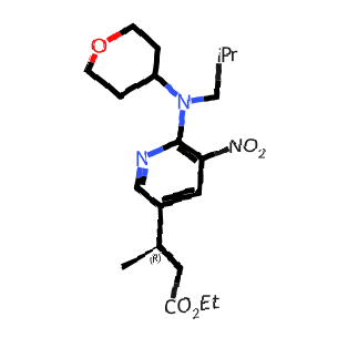 CCOC(=O)C[C@@H](C)c1cnc(N(CC(C)C)C2CCOCC2)c([N+](=O)[O-])c1